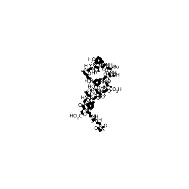 CC[C@H](C)[C@H](NC(=O)[C@H](CO)NC(=O)[C@H](Cc1ccc(O)cc1)NC(=O)[C@H](CC(=O)O)NC(=O)[C@H](CO)NC(=O)[C@@H](NC(=O)[C@H](Cc1ccccc1)NC(=O)[C@@H](NC(=O)CNC(=O)[C@H](CCC(=O)O)NC(=O)CCNC(=O)NCCN1C(=O)CSC1=O)[C@@H](C)O)[C@@H](C)O)C(=O)N[C@@H](Cc1ccc(O)cc1)C(=O)N[C@@H](CC(C)C)C(=O)N[C@@H](CC(=O)O)C(=O)N[C@H](C)CCCCN